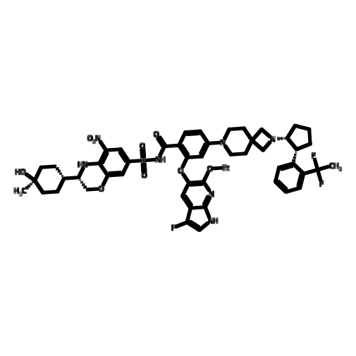 CCOc1nc2[nH]cc(F)c2cc1Oc1cc(N2CCC3(CC2)CN([C@@H]2CCC[C@@H]2c2ccccc2C(C)(F)F)C3)ccc1C(=O)NS(=O)(=O)c1cc2c(c([N+](=O)[O-])c1)N[C@@H]([C@H]1CC[C@](C)(O)CC1)CO2